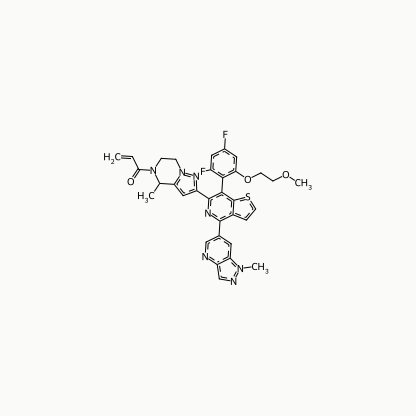 C=CC(=O)N1CCn2nc(-c3nc(-c4cnc5cnn(C)c5c4)c4ccsc4c3-c3c(F)cc(F)cc3OCCOC)cc2C1C